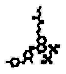 COCC(=O)NC/C=C/c1ccc2ncnc(Nc3ccc(Oc4ccc(C)nc4)c(C)c3)c2c1.O=S(=O)(O)CCS(=O)(=O)O